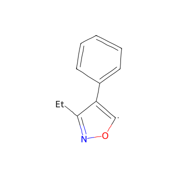 CCc1no[c]c1-c1ccccc1